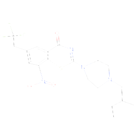 CCC(C)CN1CCN(c2nc(=O)c3cc(CC(F)(F)F)cc([N+](=O)[O-])c3s2)CC1